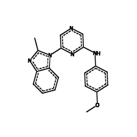 COc1ccc(Nc2cncc(-n3c(C)nc4ccccc43)n2)cc1